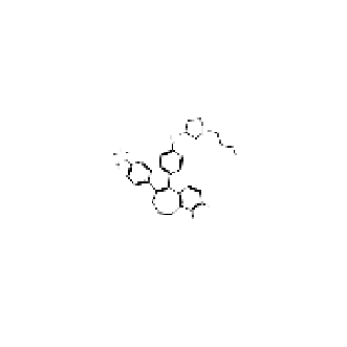 C[SH](F)(F)(F)c1ccc(C2=C(c3ccc(O[C@H]4CCN(CCCF)C4)cc3)c3ccc(O)c(F)c3CCC2)cc1